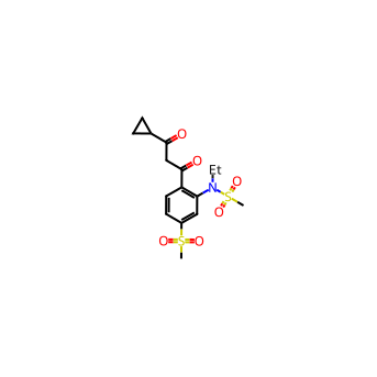 CCN(c1cc(S(C)(=O)=O)ccc1C(=O)CC(=O)C1CC1)S(C)(=O)=O